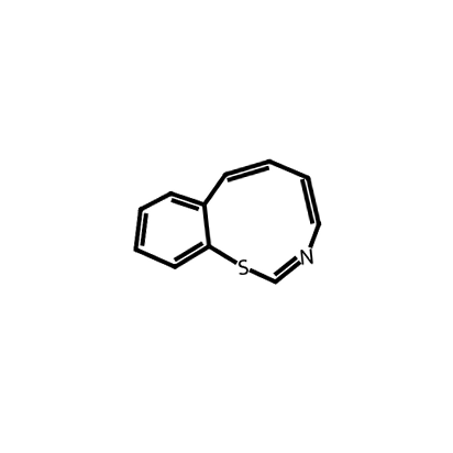 c1ccc2ccccc2scnc1